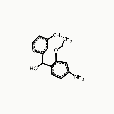 CCOc1cc(N)ccc1C(O)c1cc(C)ccn1